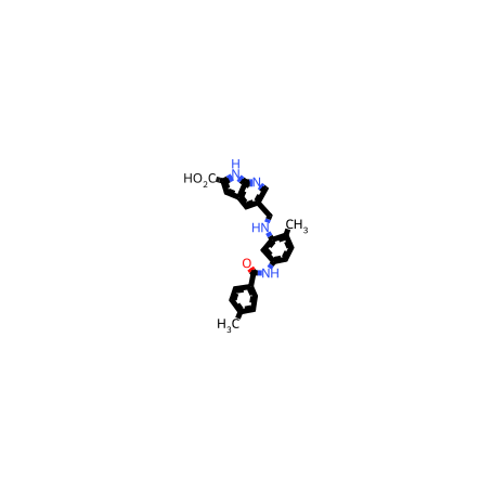 Cc1ccc(C(=O)Nc2ccc(C)c(NCc3cnc4[nH]c(C(=O)O)cc4c3)c2)cc1